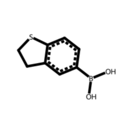 OB(O)c1ccc2c(c1)CCS2